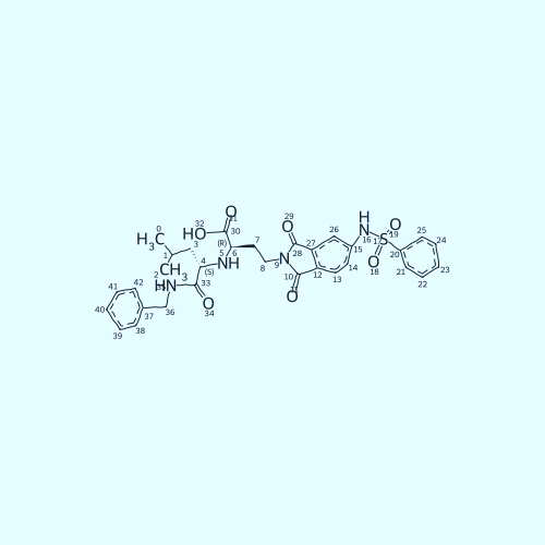 CC(C)C[C@H](N[C@H](CCN1C(=O)c2ccc(NS(=O)(=O)c3ccccc3)cc2C1=O)C(=O)O)C(=O)NCc1ccccc1